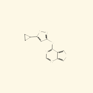 [c]1nc(Nc2cc(C3CC3)[nH]n2)c2cscc2n1